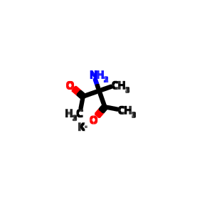 CC(=O)C(C)(N)C(C)=O.[K]